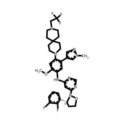 COc1cc(N2CCC3(CCN(CC(F)(F)F)CC3)CC2)c(-c2cnn(C)c2)cc1Nc1cc(N2OCC[C@@H]2c2cccc(F)c2F)ncn1